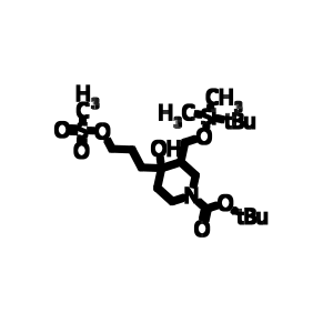 CC(C)(C)OC(=O)N1CCC(O)(CCCOS(C)(=O)=O)C(CO[Si](C)(C)C(C)(C)C)C1